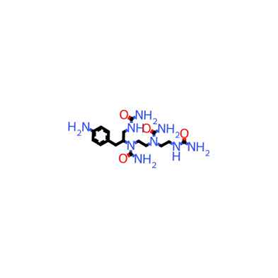 NC(=O)NCCN(CCN(C(N)=O)C(CNC(N)=O)Cc1ccc(N)cc1)C(N)=O